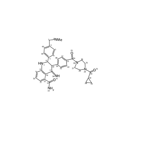 CNCc1ccc(C2Nc3cccc(C(N)=O)c3C(=N)C2c2ccc(C(=O)N3CCN(C(=O)C4CC4)CC3)cc2)cc1